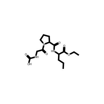 CCCC(NC(=O)C1CCCN1C(=O)CNC(=O)O)C(=O)OCC